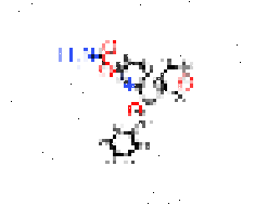 NC(=O)Oc1ccc(C2=CCOCC2)c(COCc2ccccc2)n1